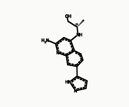 C[C@@H](CO)Nc1cc(N)nc2cc(-c3ccn[nH]3)ccc12